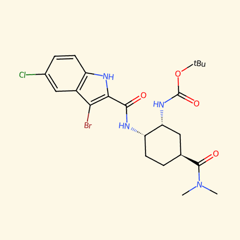 CN(C)C(=O)[C@H]1CC[C@H](NC(=O)c2[nH]c3ccc(Cl)cc3c2Br)[C@H](NC(=O)OC(C)(C)C)C1